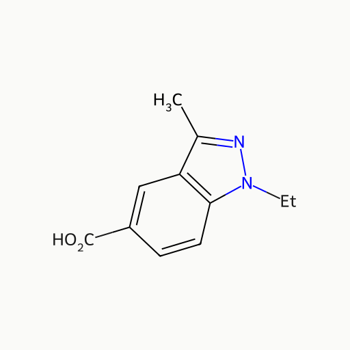 CCn1nc(C)c2cc(C(=O)O)ccc21